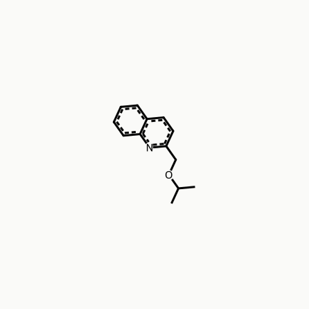 CC(C)OCc1ccc2ccccc2n1